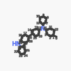 Cc1ccc(N(c2ccccc2)c2ccc(-c3ccc4[nH]c5ccccc5c4c3)cc2)cc1